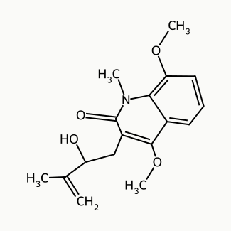 C=C(C)C(O)Cc1c(OC)c2cccc(OC)c2n(C)c1=O